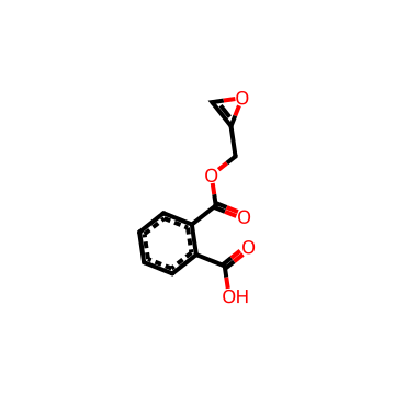 O=C(O)c1ccccc1C(=O)OCC1=CO1